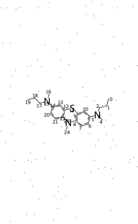 CCCN(C)c1ccc2c(c1)Sc1cc(N(C)CCC)ccc1N2C